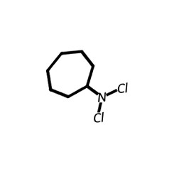 ClN(Cl)C1CCCCCC1